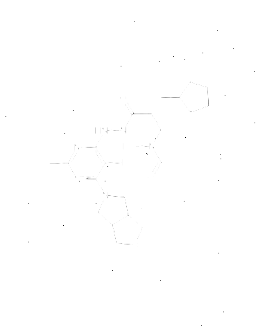 Cc1nc(NNC(=O)[C@H](CC2CCCC2)CN(O)C=O)c(F)c(N2C[C@H]3COC[C@H]3C2)n1